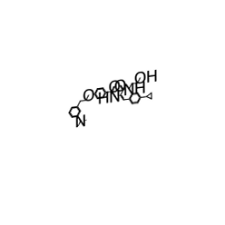 CN(C)c1cccc(CCOc2ccc(C(=O)N/C(=C/c3ccc(C4CC4)cc3)C(=O)NCCO)cc2)c1